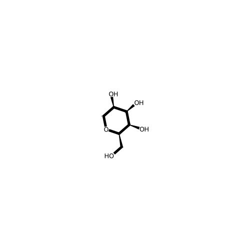 OC[C@H]1O[CH][C@@H](O)[C@@H](O)[C@H]1O